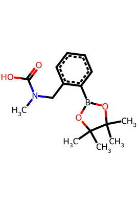 CN(Cc1ccccc1B1OC(C)(C)C(C)(C)O1)C(=O)O